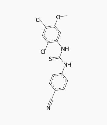 COc1cc(NC(=S)Nc2ccc(C#N)cc2)c(Cl)cc1Cl